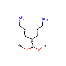 CCOC(OCC)[SiH](CCCN)CCCN